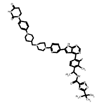 Cc1c(C(C)NC(=O)c2noc(C(C)(C)C)n2)ccc(-c2ncnc3[nH]c(-c4ccc(N5CCN(CC6CCN(c7ccc(N8CCC(=O)NC8=O)cc7)CC6)CC5)nc4)cc23)c1F